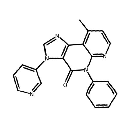 Cc1ccnc2c1c1ncn(-c3cccnc3)c1c(=O)n2-c1ccccc1